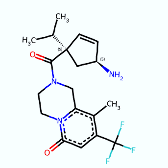 Cc1c(C(F)(F)F)cc(=O)n2c1CN(C(=O)[C@@]1(C(C)C)C=C[C@@H](N)C1)CC2